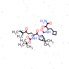 C/C=C(\C)C(=O)CC[C@H](NC(=O)OC(C)(C)C)C(=O)N1CC2C([C@H]1C(=O)NC(CC1CCC1)C(=O)C(N)=O)C2(C)C